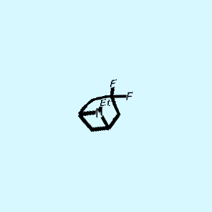 CCN1C2CC1CC(F)(F)C2